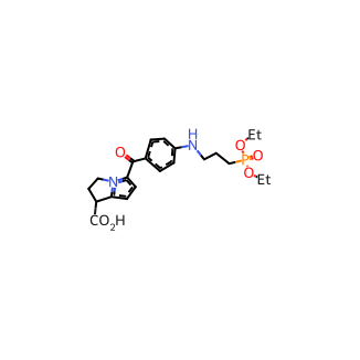 CCOP(=O)(CCCNc1ccc(C(=O)c2ccc3n2CCC3C(=O)O)cc1)OCC